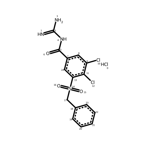 Cl.N=C(N)NC(=O)c1cc(Cl)c(Cl)c(S(=O)(=O)Cc2ccccc2)c1